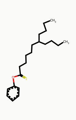 CCCCC(CCCC)CCCCCC(=S)Oc1ccccc1